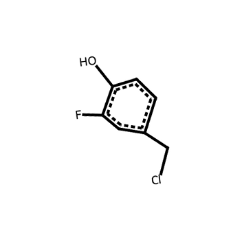 Oc1ccc(CCl)cc1F